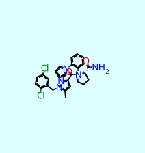 Cc1cc(C(=O)[N+]2(c3ccccc3-n3cccc3)CCC[C@H]2C(N)=O)nn1Cc1cc(Cl)ccc1Cl